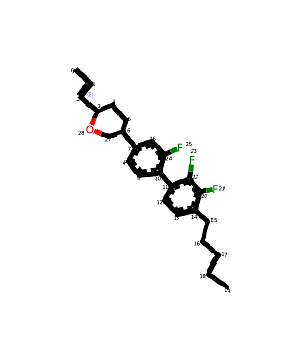 C/C=C/C1CCC(c2ccc(-c3ccc(CCCCC)c(F)c3F)c(F)c2)CO1